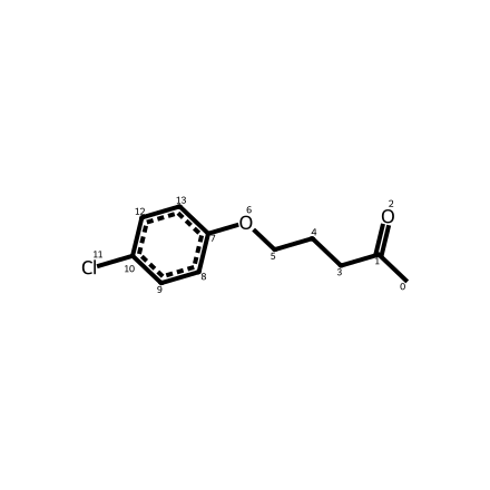 CC(=O)CCCOc1ccc(Cl)cc1